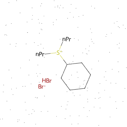 Br.CCC[S+](CCC)C1CCCCC1.[Br-]